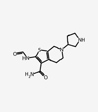 NC(=O)c1c(NC=O)sc2c1CCN(C1CCNC1)C2